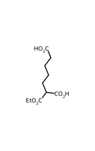 CCOC(=O)C(CCCCC(=O)O)C(=O)O